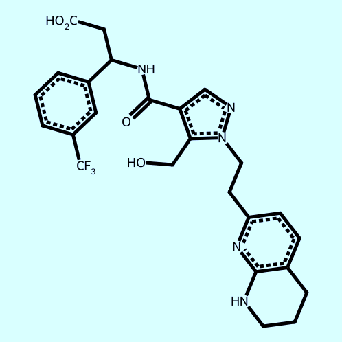 O=C(O)CC(NC(=O)c1cnn(CCc2ccc3c(n2)NCCC3)c1CO)c1cccc(C(F)(F)F)c1